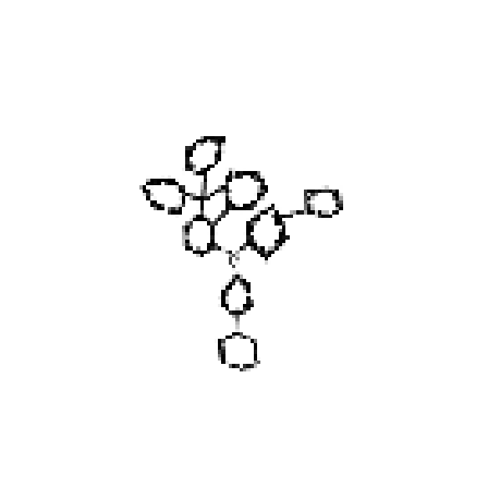 c1ccc(-c2ccc(N(c3ccc(C4CCCCC4)cc3)c3cccc4c3-c3ccccc3C4(c3ccccc3)c3ccccc3)cc2)cc1